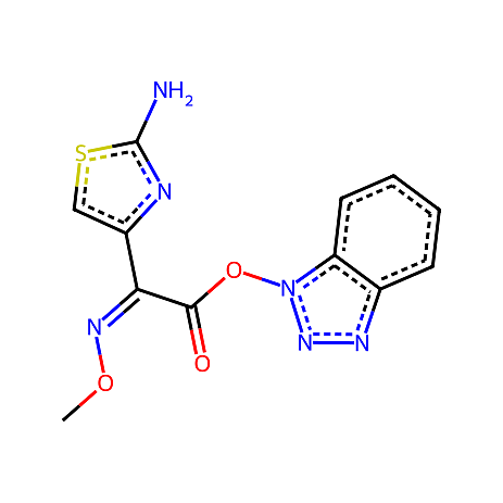 CO/N=C(\C(=O)On1nnc2ccccc21)c1csc(N)n1